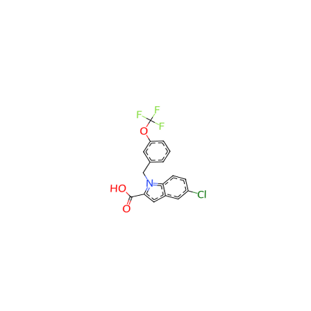 O=C(O)c1cc2cc(Cl)ccc2n1Cc1cccc(OC(F)(F)F)c1